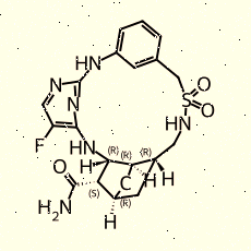 NC(=O)[C@H]1[C@@H]2C[C@H]3CNS(=O)(=O)Cc4cccc(c4)Nc4ncc(F)c(n4)N[C@@H]1[C@@H]3C2